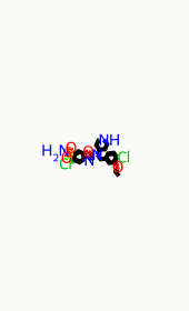 CCOc1cc(CN(c2nc3cc(Cl)c(S(N)(=O)=O)cc3o2)C2CCNCC2)ccc1Cl